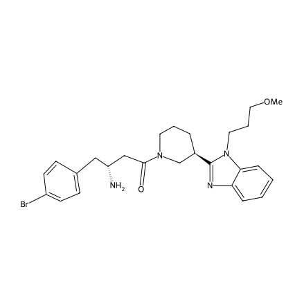 COCCCn1c([C@@H]2CCCN(C(=O)C[C@H](N)Cc3ccc(Br)cc3)C2)nc2ccccc21